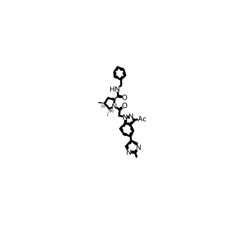 CC(=O)c1nn(CC(=O)N2[C@H](C)[C@@H](C)C[C@H]2C(=O)NCc2ccccc2)c2ccc(-c3cnc(C)nc3)cc12